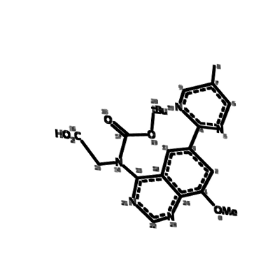 COc1cc(-c2ncc(C)cn2)cc2c(N(CC(=O)O)C(=O)OC(C)(C)C)ncnc12